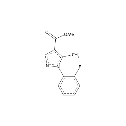 COC(=O)c1cnn(-c2ccccc2F)c1C